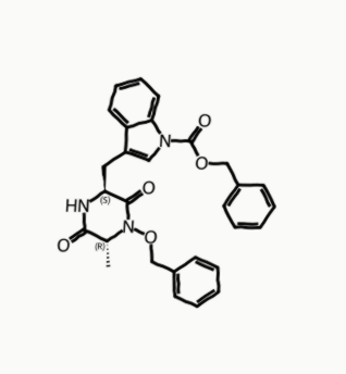 C[C@@H]1C(=O)N[C@@H](Cc2cn(C(=O)OCc3ccccc3)c3ccccc23)C(=O)N1OCc1ccccc1